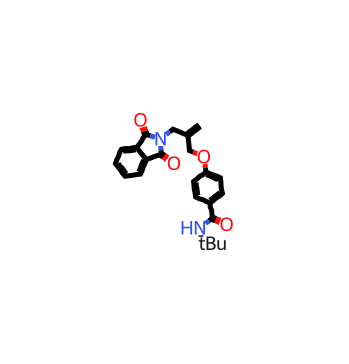 C=C(COc1ccc(C(=O)NC(C)(C)C)cc1)CN1C(=O)c2ccccc2C1=O